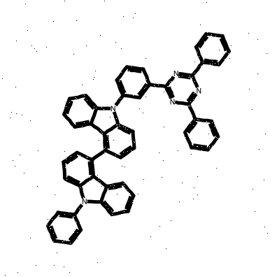 c1ccc(-c2nc(-c3ccccc3)nc(-c3cccc(-n4c5ccccc5c5c(-c6cccc7c6c6ccccc6n7-c6ccccc6)cccc54)c3)n2)cc1